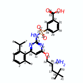 Cc1cccc(C(C)C)c1-c1cc(OC[C@H](N)CC(C)(C)C)nc(NS(=O)(=O)c2cccc(C(=O)O)c2)n1